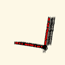 O=C1NS(=O)(=O)c2ccccc21.[NaH].[NaH].[NaH].[NaH].[NaH].[NaH].[NaH].[NaH].[NaH].[NaH].[NaH].[NaH].[NaH].[NaH].[NaH].[NaH].[NaH].[NaH].[NaH].[NaH].[NaH].[NaH].[NaH].[NaH].[NaH].[NaH].[NaH].[NaH].[NaH].[NaH].[NaH].[NaH].[NaH].[NaH].[NaH].[NaH].[NaH].[NaH].[NaH].[NaH].[NaH].[NaH].[NaH].[NaH].[NaH].[NaH].[NaH].[NaH].[NaH].[NaH].[NaH].[NaH].[NaH].[NaH].[NaH].[NaH].[NaH].[NaH].[NaH].[NaH].[NaH].[NaH].[NaH].[NaH].[NaH].[NaH].[NaH].[NaH].[NaH].[NaH]